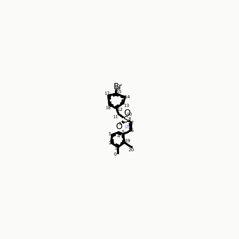 Cc1cccc(/C=C\S(=O)(=O)Cc2ccc(Br)cc2)c1C